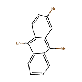 Brc1ccc2c(Br)c3ccccc3c(Br)c2c1